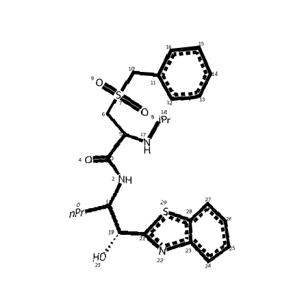 CCCC(NC(=O)C(CS(=O)(=O)Cc1ccccc1)NC(C)C)[C@@H](O)c1nc2ccccc2s1